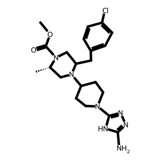 COC(=O)N1CC(Cc2ccc(Cl)cc2)N(C2CCN(c3nnc(N)[nH]3)CC2)C[C@@H]1C